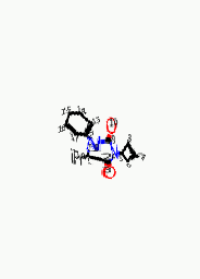 CC(C)C1C(=O)N(C2CCC2)C(=O)N1C1=CCCC=C1